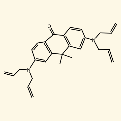 C=CCN(CC=C)c1ccc2c(c1)C(C)(C)c1cc(N(CC=C)CC=C)ccc1C2=O